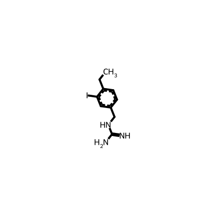 CCc1ccc(CNC(=N)N)cc1I